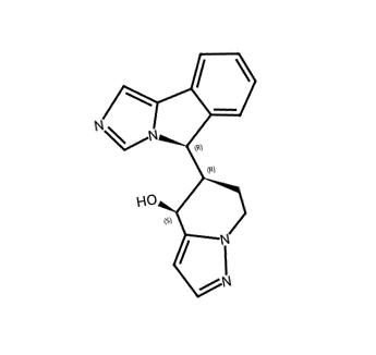 O[C@@H]1c2ccnn2CC[C@@H]1[C@@H]1c2ccccc2-c2cncn21